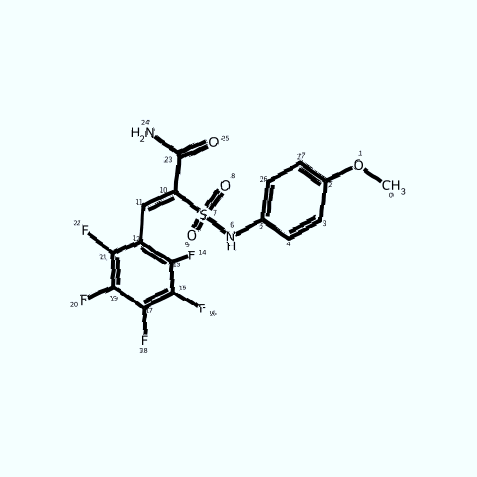 COc1ccc(NS(=O)(=O)/C(=C\c2c(F)c(F)c(F)c(F)c2F)C(N)=O)cc1